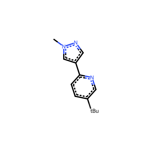 Cn1cc(-c2ccc(C(C)(C)C)cn2)cn1